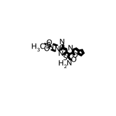 CCS(=O)(=O)N1CCN(c2nc3sc(C(N)=O)c(-c4oc5cccc-5cc4N)c3cc2C#N)CC1